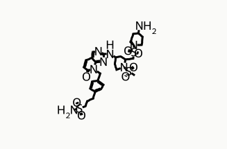 CS(=O)(=O)N1CCC(Nc2ncc3ccc(=O)n(Cc4ccc(CCCS(N)(=O)=O)cc4)c3n2)CC1CS(=O)(=O)N1CCC(N)CC1